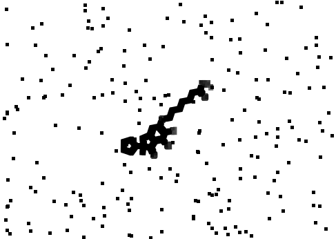 CC1(C2CCCC2)Cc2cc(OCCCCCCC(N)=O)c(Cl)c(Cl)c2C1=O